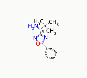 CC(C)(C)[C@H](N)c1noc(-c2ccccc2)n1